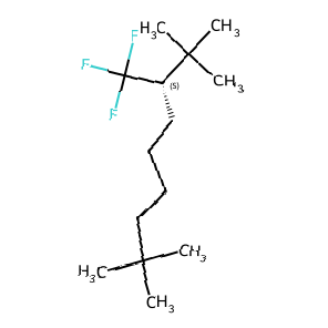 CC(C)(C)CCCC[C@@H](C(C)(C)C)C(F)(F)F